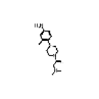 Cc1cc(N)ccc1C1CCN(C(=O)CN(C)C)CC1